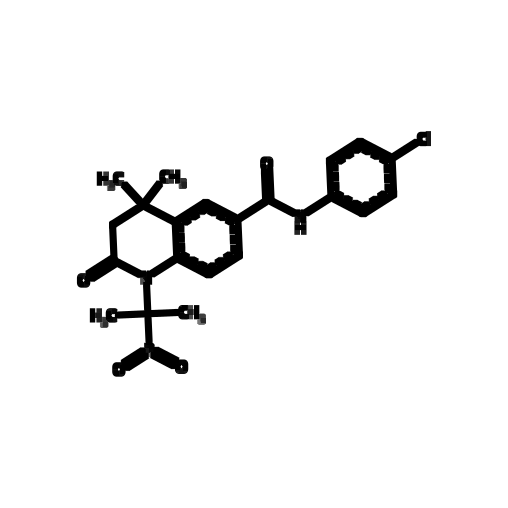 CC1(C)CC(=O)N(C(C)(C)P(=O)=O)c2ccc(C(=O)Nc3ccc(Cl)cc3)cc21